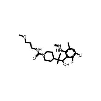 C=NNc1c(C)cc(Cl)c(F)c1C(O)C(C)(C)C1CCN(C(=O)NCCCOC)CC1